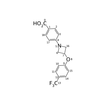 O=C(O)c1ccc(N2CC(Oc3ccc(C(F)(F)F)cc3)C2)cc1